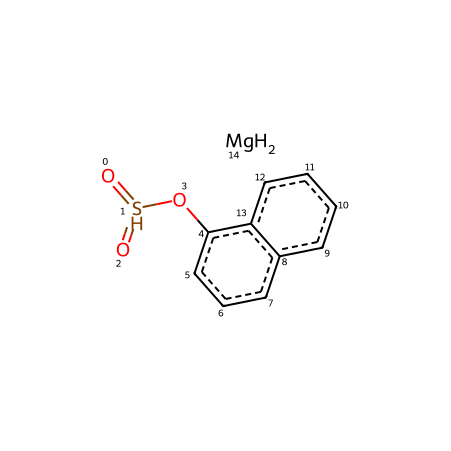 O=[SH](=O)Oc1cccc2ccccc12.[MgH2]